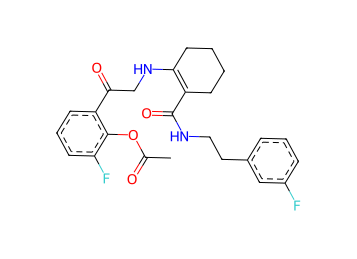 CC(=O)Oc1c(F)cccc1C(=O)CNC1=C(C(=O)NCCc2cccc(F)c2)CCCC1